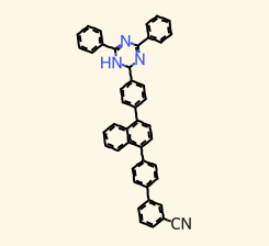 N#Cc1cccc(-c2ccc(-c3ccc(-c4ccc(C5N=C(c6ccccc6)N=C(c6ccccc6)N5)cc4)c4ccccc34)cc2)c1